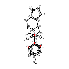 O=S(=O)(c1ccc(Cl)cc1)N1C2Cc3[nH]ncc3C1CC(c1csnn1)C2